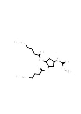 CCCCCCCCCCCCCC(=O)OC1CC(NC(=O)OC(C)(C)C)CC1OC(=O)CCCCCCCCCCCCC